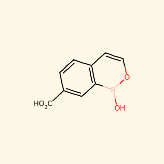 O=C(O)c1ccc2c(c1)B(O)OC=C2